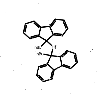 CCCC[C]1([Hf][C]2(CCCC)c3ccccc3-c3ccccc32)c2ccccc2-c2ccccc21